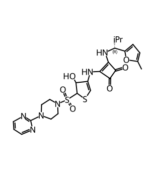 Cc1ccc([C@H](Nc2c(NC3=CSC(S(=O)(=O)N4CCN(c5ncccn5)CC4)C3O)c(=O)c2=O)C(C)C)o1